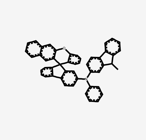 CC1c2ccccc2-c2ccc(N(c3ccccc3)c3ccc4c(c3)C3(c5ccccc5Oc5cc6ccccc6cc53)c3ccccc3-4)cc21